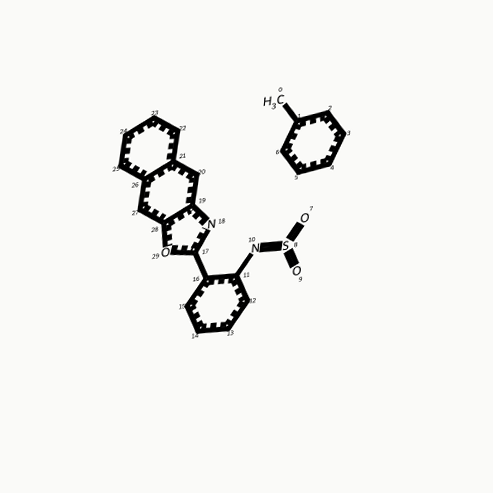 Cc1ccccc1.O=S(=O)=Nc1ccccc1-c1nc2cc3ccccc3cc2o1